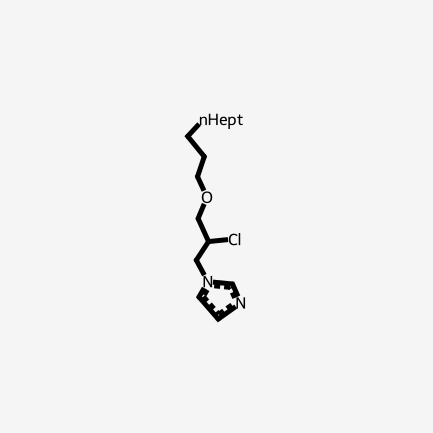 CCCCCCCCCCOCC(Cl)Cn1ccnc1